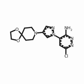 Nc1nnc(Cl)cc1-n1cc(N2CCC3(CC2)OCCO3)cn1